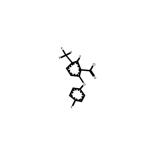 O=C(Cl)c1c(Oc2ccc(F)cc2)ccc(C(F)(F)F)c1F